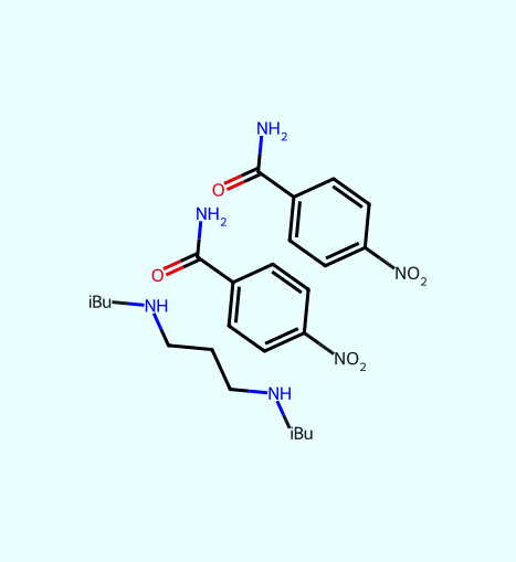 CCC(C)NCCCNC(C)CC.NC(=O)c1ccc([N+](=O)[O-])cc1.NC(=O)c1ccc([N+](=O)[O-])cc1